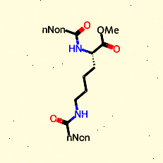 CCCCCCCCCC(=O)NCCCC[C@H](NC(=O)CCCCCCCCC)C(=O)OC